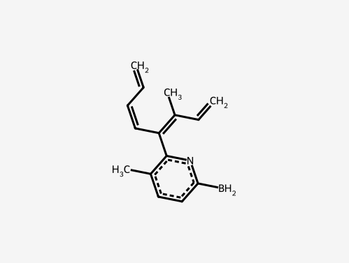 Bc1ccc(C)c(C(/C=C\C=C)=C(/C)C=C)n1